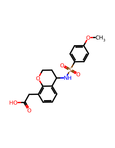 COc1ccc(S(=O)(=O)NC2CCOc3c(CC(=O)O)cccc32)cc1